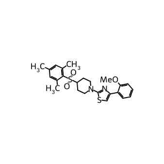 COc1ccccc1-c1csc(N2CCC(S(=O)(=O)c3c(C)cc(C)cc3C)CC2)n1